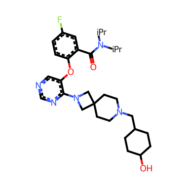 CC(C)N(C(=O)c1cc(F)ccc1Oc1cncnc1N1CC2(CCN(CC3CCC(O)CC3)CC2)C1)C(C)C